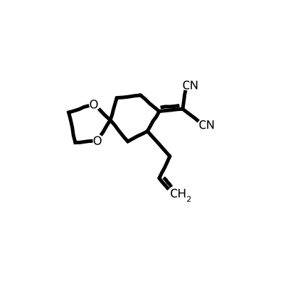 C=CCC1CC2(CCC1=C(C#N)C#N)OCCO2